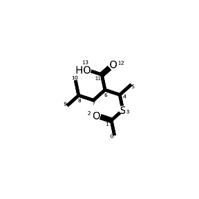 CC(=O)SC(C)C(CC(C)C)C(=O)O